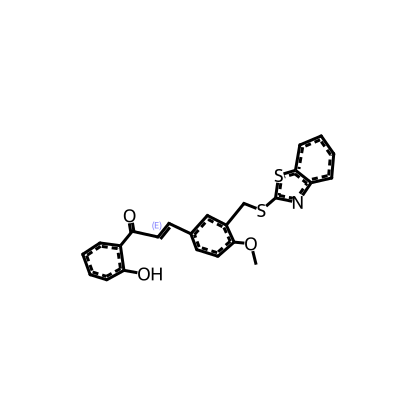 COc1ccc(/C=C/C(=O)c2ccccc2O)cc1CSc1nc2ccccc2s1